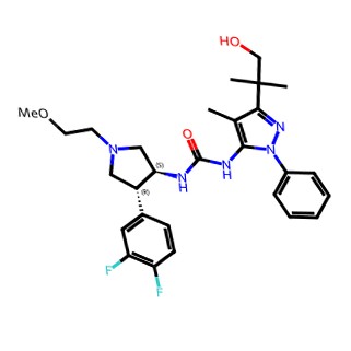 COCCN1C[C@@H](NC(=O)Nc2c(C)c(C(C)(C)CO)nn2-c2ccccc2)[C@H](c2ccc(F)c(F)c2)C1